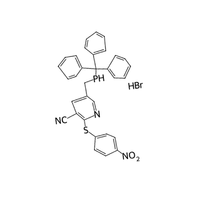 Br.N#Cc1cc(CPC(c2ccccc2)(c2ccccc2)c2ccccc2)cnc1Sc1ccc([N+](=O)[O-])cc1